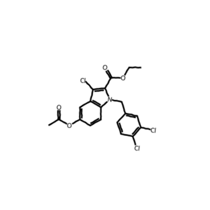 CCOC(=O)c1c(Cl)c2cc(OC(C)=O)ccc2n1Cc1ccc(Cl)c(Cl)c1